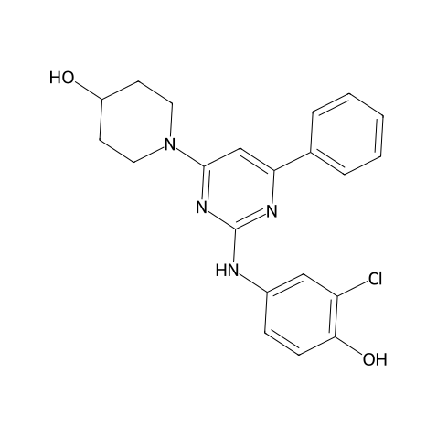 Oc1ccc(Nc2nc(-c3ccccc3)cc(N3CCC(O)CC3)n2)cc1Cl